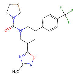 Cc1noc(C2CC(c3ccc(C(F)(F)F)cc3)CN(C(=O)N3CCSC3)C2)n1